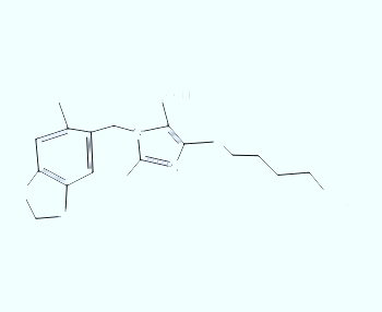 CCCc1nc(SCCCCC(=O)OCC)c(C(=O)O)n1Cc1cc2c(cc1Cl)OCO2